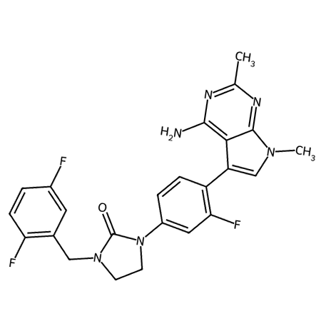 Cc1nc(N)c2c(-c3ccc(N4CCN(Cc5cc(F)ccc5F)C4=O)cc3F)cn(C)c2n1